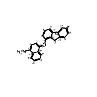 Nc1ccc(Oc2cccc3c2Cc2ccccc2-3)c2ccccc12